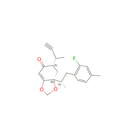 C#CC(C)[C@@H]1C[C@]2([C@@H](C)Cc3ccc(C)cc3F)OCOC2=CC1=O